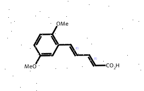 COc1ccc(OC)c(/C=C/C=C/C(=O)O)c1